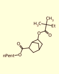 CCCCCOC(=O)C1CC2CC(OC(=O)C(C)(C)CC)C1C2